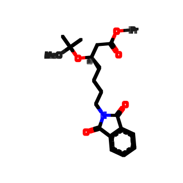 COC(C)(C)O[C@H](CCCCN1C(=O)c2ccccc2C1=O)CC(=O)OC(C)C